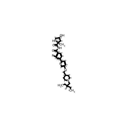 CCC(F)(CC)CN1CCC(COc2ccc(-c3ccc(C(=O)NC(=O)[C@]4(C)C[C@@H](O)CN4)c(F)c3)nc2)CC1